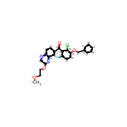 COCCOc1cnc2ccc(C(=O)c3c(F)ccc(OCc4ccccc4)c3Cl)cc2n1